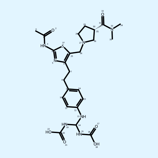 CC(=O)Nc1nc(CCc2ccc(NC(NC(=O)O)NC(=O)O)cc2)c(CN2CC[C@H](C(=O)N(C)C)C2)s1